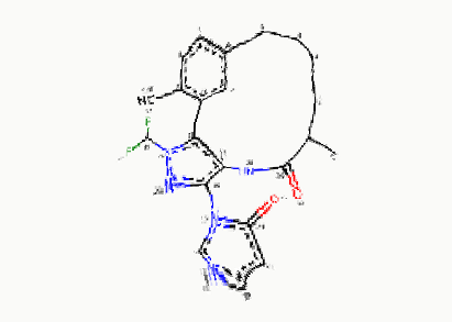 CC1CCCCc2ccc(C#N)c(c2)-c2c(c(-n3cnccc3=O)nn2C(F)F)NC1=O